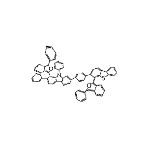 c1ccc(-c2ccc3c4ccc(-c5ccc(-c6ccc7c(sc8ccccc87)c6-c6oc(-c7ccccc7)c7ccccc67)cc5)cc4n(-c4ccccc4)c3c2-c2oc(-c3ccccc3)c3ccccc23)cc1